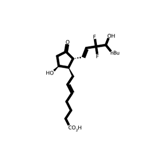 CCCCC(O)C(F)(F)C=C[C@H]1C(=O)C[C@H](O)[C@@H]1CC=CCCCC(=O)O